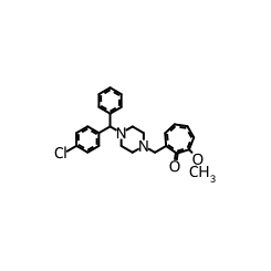 COc1ccccc(CN2CCN(C(c3ccccc3)c3ccc(Cl)cc3)CC2)c1=O